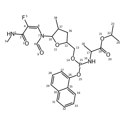 CNC(=O)/C(F)=C\N(C=O)C1OC(COP(NC(C)C(=O)OC(C)C)Oc2cccc3ccccc23)CC1C